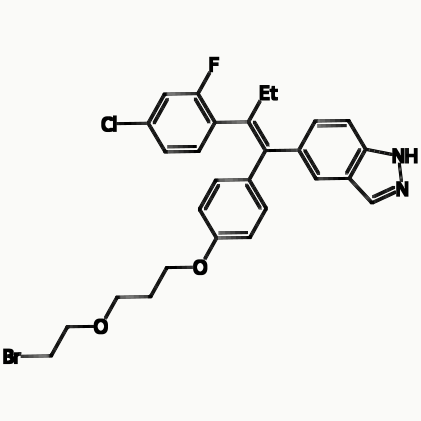 CC/C(=C(/c1ccc(OCCCOCCBr)cc1)c1ccc2[nH]ncc2c1)c1ccc(Cl)cc1F